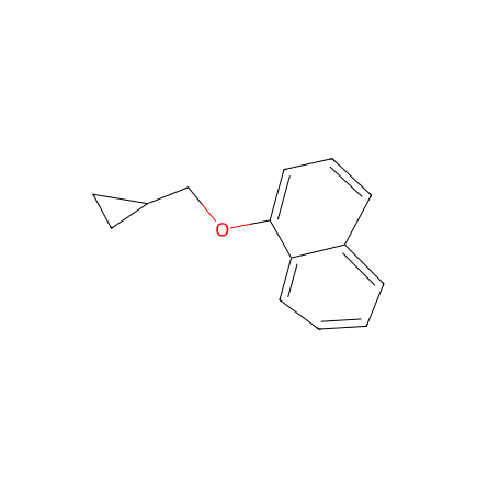 c1ccc2c(OCC3CC3)cccc2c1